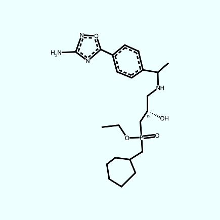 CCOP(=O)(CC1CCCCC1)C[C@@H](O)CNC(C)c1ccc(-c2nc(N)no2)cc1